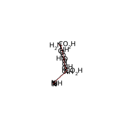 N[C@@H](CCCCNC(=O)COCCOCCNC(=O)COCCOCCNC(=O)CC[C@H](NC(=O)CCCCCCCCCCCCCCc1nnn[nH]1)C(=O)O)C(=O)O